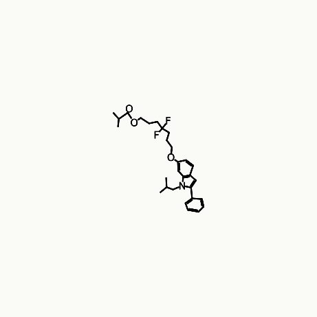 CC(C)Cn1c(-c2ccccc2)cc2ccc(OCCCC(F)(F)CCCOC(=O)C(C)C)cc21